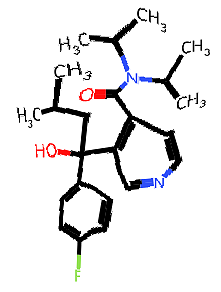 CC(C)CC(O)(c1ccc(F)cc1)c1cnccc1C(=O)N(C(C)C)C(C)C